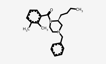 CCCC[C@H]1CN(Cc2ccccc2)CCN1C(=O)c1cccc(C)c1C